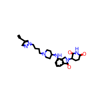 C#Cc1cnn(CCCCN2CCC(Nc3cccc4c3CN(C3CCC(=O)NC3=O)C4=O)CC2)c1